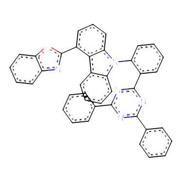 c1ccc(-c2nc(-c3ccccc3)nc(-c3ccccc3-n3c4ccccc4c4c(-c5nc6ccccc6o5)cccc43)n2)cc1